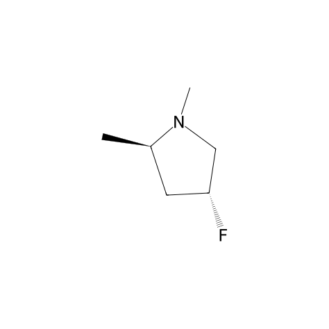 C[C@@H]1C[C@@H](F)CN1C